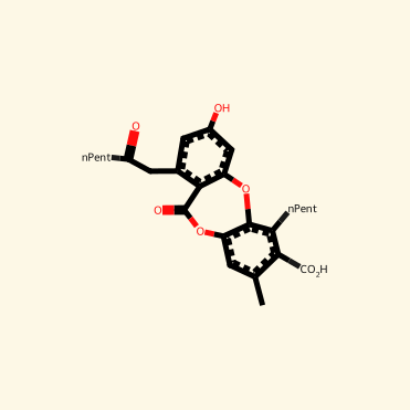 CCCCCC(=O)Cc1cc(O)cc2c1C(=O)Oc1cc(C)c(C(=O)O)c(CCCCC)c1O2